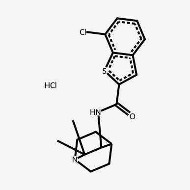 CC1(C)C(NC(=O)c2cc3cccc(Cl)c3s2)C2CCN1CC2.Cl